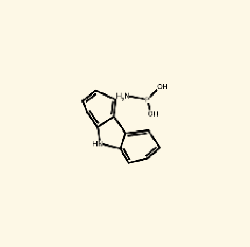 NP(O)O.c1ccc2c(c1)[nH]c1ccccc12